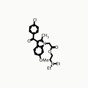 CCN(CC)CCOC(=O)Cn1c(C)c(C(=O)c2ccc(Cl)cc2)c2ccc(OC)cc21